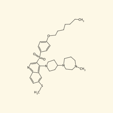 CCCCCCCOc1ccc(S(=O)(=O)c2cnc3ccc(SC)cc3c2N2CCC(N3CCCN(C)CC3)CC2)cc1